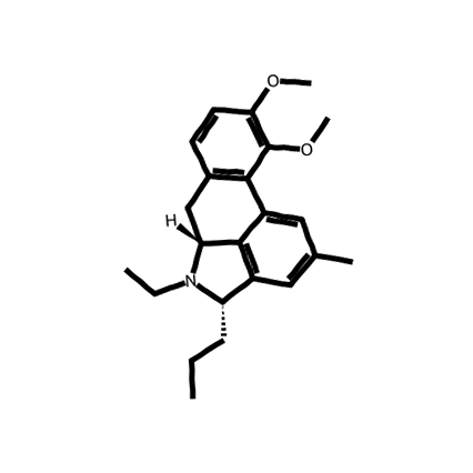 CCC[C@H]1c2cc(C)cc3c2[C@@H](Cc2ccc(OC)c(OC)c2-3)N1CC